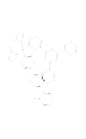 Cc1cnccc1-c1ccc(-c2ccc3c(c2)-c2c(-c4nc(-c5ccccc5)cc(-c5ccccc5)n4)cccc2C32c3ccccc3Sc3ccccc32)cc1